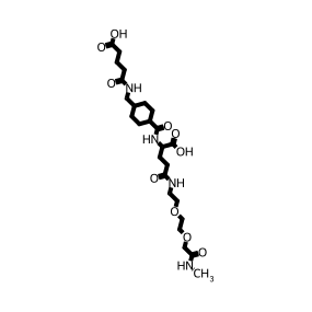 CNC(=O)COCCOCCNC(=O)CCC(NC(=O)C1CCC(CNC(=O)CCCC(=O)O)CC1)C(=O)O